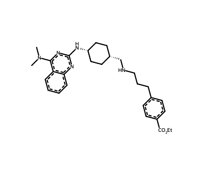 CCOC(=O)c1ccc(CCCNC[C@H]2CC[C@@H](Nc3nc(N(C)C)c4ccccc4n3)CC2)cc1